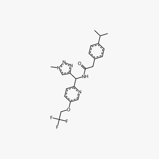 CC(C)c1ccc(CC(=O)NC(c2ccc(OCC(F)(F)F)cn2)c2cn(C)nn2)cc1